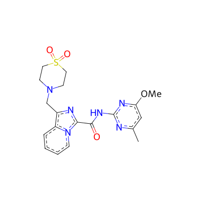 COc1cc(C)nc(NC(=O)c2nc(CN3CCS(=O)(=O)CC3)c3ccccn23)n1